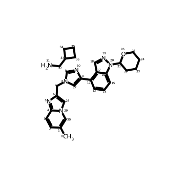 Cc1ccc2nc(Cn3cnc(-c4cccc5c4cnn5C4CCCCO4)c3)cn2c1.NCC1CCC1